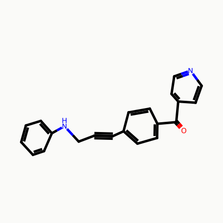 O=C(c1ccncc1)c1ccc(C#CCNc2ccccc2)cc1